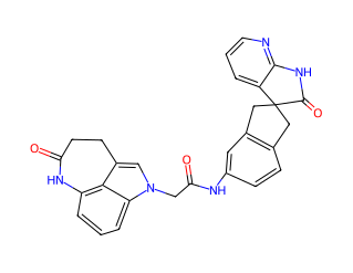 O=C(Cn1cc2c3c(cccc31)NC(=O)CC2)Nc1ccc2c(c1)CC1(C2)C(=O)Nc2ncccc21